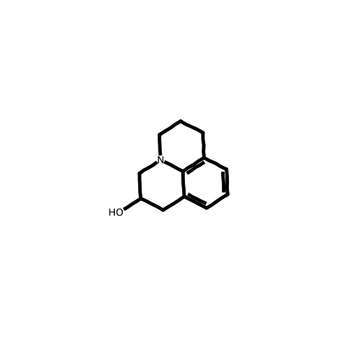 OC1Cc2cccc3c2N(CCC3)C1